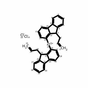 C=CCC1c2ccccc2-c2ccc[c]([Zr+2][c]3cccc4c3C(CC=C)c3ccccc3-4)c21.[Cl-].[Cl-]